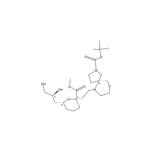 COC(=O)[C@@]1(CCN2CCOC[C@@]23CCN(C(=O)OC(C)(C)C)C3)CCC[C@H](C[C@H](O)CO)O1